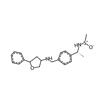 C[C@@H](N[S+](C)[O-])c1ccc(CNC2COC(c3ccccc3)C2)cc1